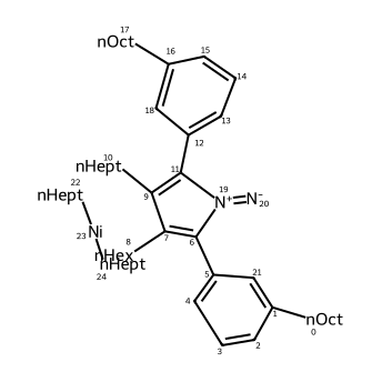 CCCCCCCCc1cccc(C2=C(CCCCCC)C(CCCCCCC)=C(c3cccc(CCCCCCCC)c3)[N+]2=[N-])c1.CCCCCC[CH2][Ni][CH2]CCCCCC